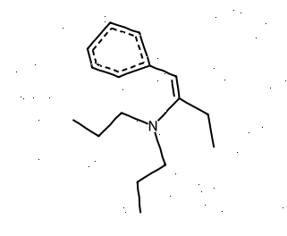 CCCN(CCC)C(=Cc1ccccc1)CC